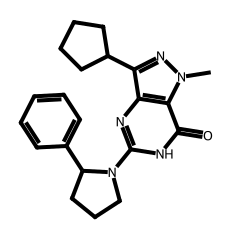 Cn1nc(C2CCCC2)c2nc(N3CCCC3c3ccccc3)[nH]c(=O)c21